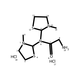 CN1CCSC1N(C(=O)CN)C1SCCN1C.Cl.Cl